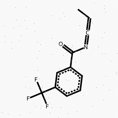 CC=C=NC(=O)c1cccc(C(F)(F)F)c1